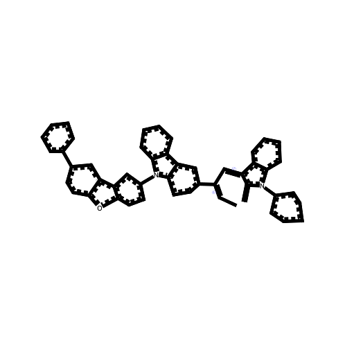 C=c1/c(=C\C(=C/C)c2ccc3c(c2)c2ccccc2n3-c2ccc3oc4ccc(-c5ccccc5)cc4c3c2)c2ccccc2n1-c1ccccc1